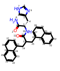 NC(=O)[C@H](Cc1c[nH]cn1)NC(=O)C(Cc1cccc2ccccc12)Cc1cccc2ccccc12